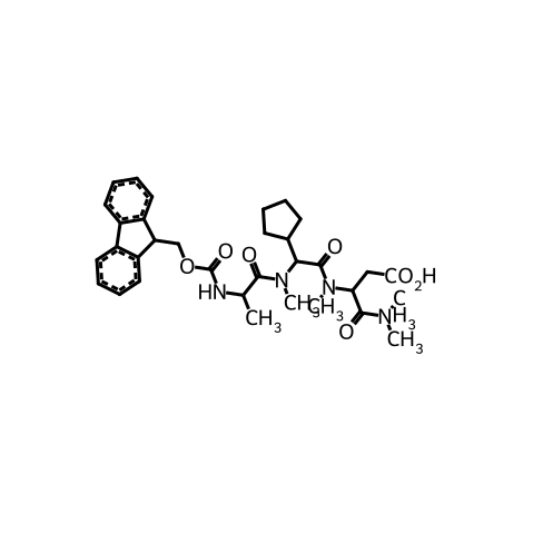 CC(NC(=O)OCC1c2ccccc2-c2ccccc21)C(=O)N(C)C(C(=O)N(C)C(CC(=O)O)C(=O)N(C)C)C1CCCC1